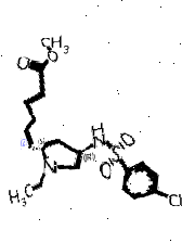 CCN1C[C@H](NS(=O)(=O)c2ccc(Cl)cc2)C[C@H]1/C=C\CCCC(=O)OC